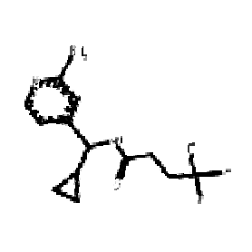 Nc1cc(C(NC(=O)CCC(F)(F)F)C2CC2)ccn1